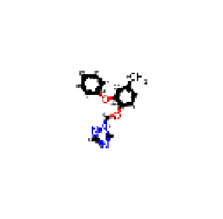 Cc1ccc(OCn2cncn2)c(Oc2ccccc2)c1